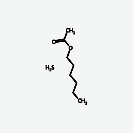 CCCCCCOC(C)=O.S